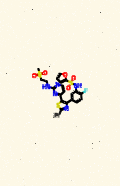 CC(C)c1nc(-c2ccc(F)c(NS(=O)(=O)c3ccco3)c2)c(-c2ccnc(NCCS(C)(=O)=O)n2)s1